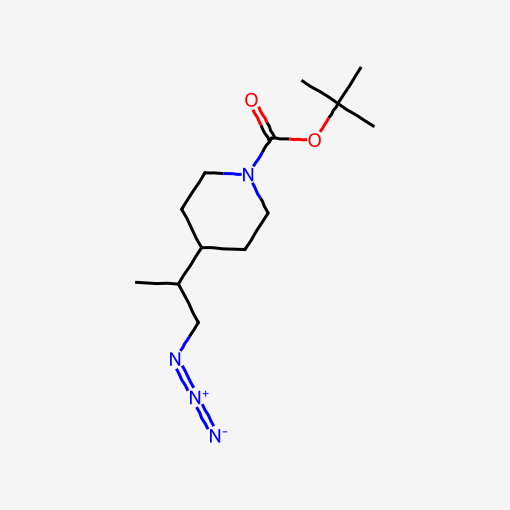 CC(CN=[N+]=[N-])C1CCN(C(=O)OC(C)(C)C)CC1